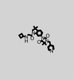 CC1(C)CN(C(=O)CNC2CCC2)c2cc(N3C(=O)N(Cc4ccncc4)C(C)(C)C3=O)ccc21